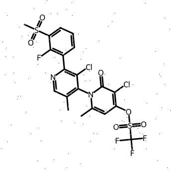 Cc1cnc(-c2cccc(S(C)(=O)=O)c2F)c(Cl)c1-n1c(C)cc(OS(=O)(=O)C(F)(F)F)c(Cl)c1=O